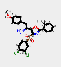 COc1ccc(CC(N)c2oc(-c3ccccc3C)nc2S(=O)(=O)c2ccc(Cl)c(Cl)c2)cc1